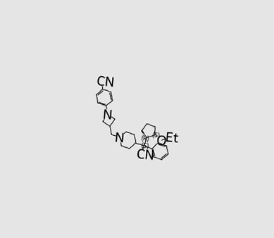 CCO[C@H]1CCC[C@@H]1[C@](C#N)(c1ccccc1)C1CCN(CC2CN(c3ccc(C#N)cc3)C2)CC1